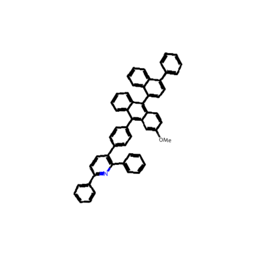 COc1ccc2c(-c3ccc(-c4ccccc4)c4ccccc34)c3ccccc3c(-c3ccc(-c4ccc(-c5ccccc5)nc4-c4ccccc4)cc3)c2c1